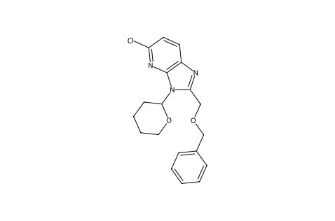 Clc1ccc2nc(COCc3ccccc3)n(C3CCCCO3)c2n1